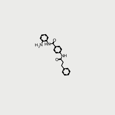 Nc1ccccc1NC(=O)c1ccc(NC(=O)CCc2ccccc2)cc1